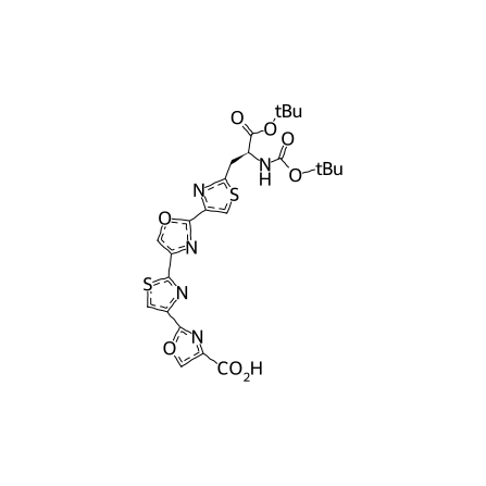 CC(C)(C)OC(=O)N[C@@H](Cc1nc(-c2nc(-c3nc(-c4nc(C(=O)O)co4)cs3)co2)cs1)C(=O)OC(C)(C)C